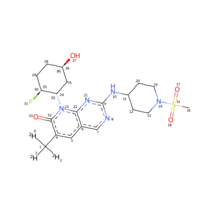 [2H]C([2H])([2H])c1cc2cnc(NC3CCN(S(C)(=O)=O)CC3)nc2n([C@H]2C[C@H](O)CC[C@@H]2F)c1=O